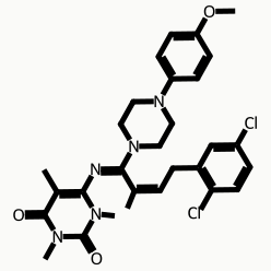 COc1ccc(N2CCN(C(=N/c3c(C)c(=O)n(C)c(=O)n3C)/C(C)=C\Cc3cc(Cl)ccc3Cl)CC2)cc1